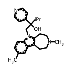 Cc1ccc2c(c1)c1c(n2CC(O)(c2ccncc2)C(C)C)CCN(C)CC1